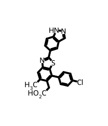 Cc1cc2nc(-c3ccc4[nH]ncc4c3)sc2c(-c2ccc(Cl)cc2)c1CC(=O)O